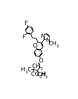 CC(CCOc1ccc2c(c1)C=C(c1nccn1C)C(CCc1ccc(F)cc1F)O2)C(C)(C)C(=O)O